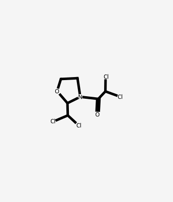 O=C(C(Cl)Cl)N1CCOC1C(Cl)Cl